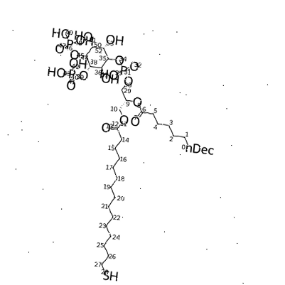 CCCCCCCCCCCCCCCC(=O)O[C@H](COC(=O)CCCCCCCCCCCCCCS)COP(=O)(O)OC1C(O)[C@H](OP(=O)(O)O)C(OP(=O)(O)O)[C@H](O)[C@@H]1O